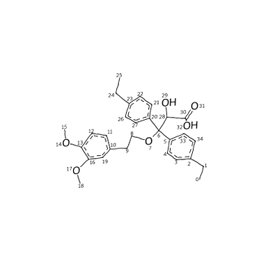 CCc1ccc(C(OCCc2ccc(OC)c(OC)c2)(c2ccc(CC)cc2)C(O)C(=O)O)cc1